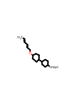 C/C=C/C=C/COC1CCC(C2CCC(CCCCCCC)CC2)CC1